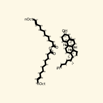 CC(C)CCC[C@@H](C)[C@H]1CC[C@H]2[C@@H]3CC=C4C[C@@H](O)CC[C@]4(C)[C@H]3CC[C@]12C.CCCCCCCCC=CCCCCCCCC(=O)OC(=O)CCCCCCCC=CCCCCCCCC